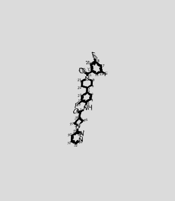 O=C(Nc1ccc(C2CCN(C(=O)c3cc(F)cc(F)c3)CC2)cc1F)C1CN(c2cccnn2)C1